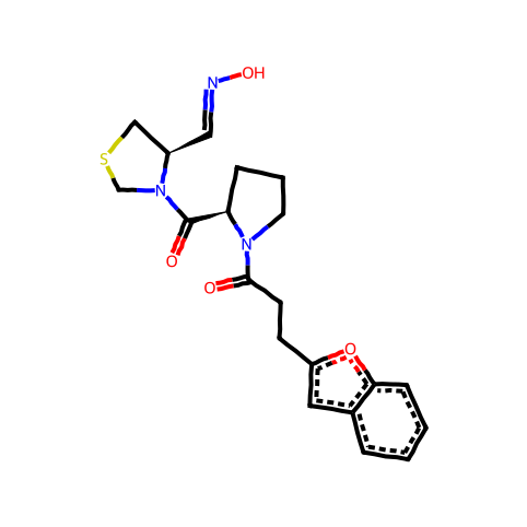 O=C([C@H]1CCCN1C(=O)CCc1cc2ccccc2o1)N1CSC[C@H]1C=NO